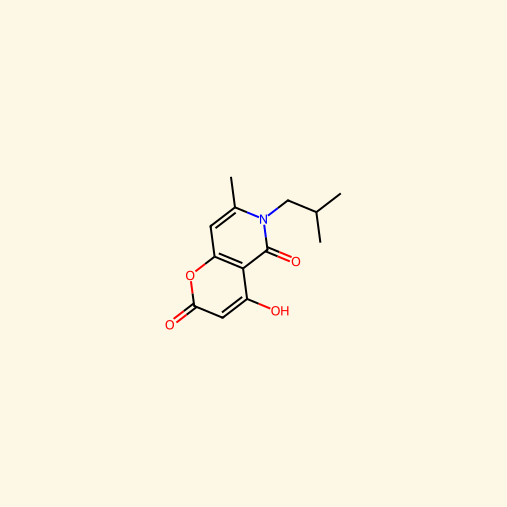 Cc1cc2oc(=O)cc(O)c2c(=O)n1CC(C)C